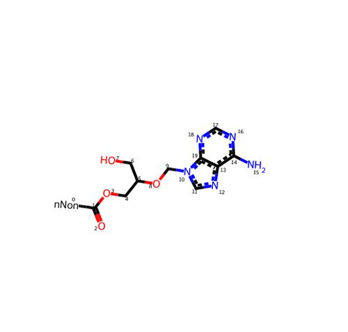 CCCCCCCCCC(=O)OCC(CO)OCn1cnc2c(N)ncnc21